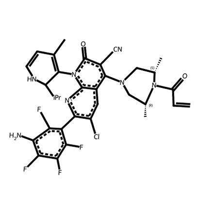 C=CC(=O)N1[C@H](C)CN(c2c(C#N)c(=O)n(C3=C(C)C=CNC3C(C)C)c3nc(-c4c(F)c(N)c(F)c(F)c4F)c(Cl)cc23)C[C@@H]1C